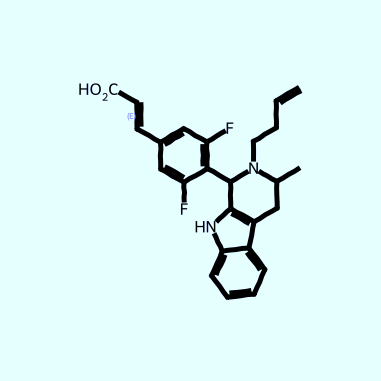 C=CCCN1C(C)Cc2c([nH]c3ccccc23)C1c1c(F)cc(/C=C/C(=O)O)cc1F